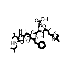 Cc1csc(C[C@H](C)C(=O)N[C@@H](CNC(=O)O)C(=O)N[C@@H](Cc2ccccc2)[C@H](O)C[C@@H](C)C(=O)N[C@H](C(=O)NCC(C)C)C(C)C)n1